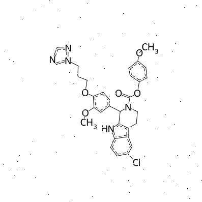 COc1ccc(OC(=O)N2CCc3c([nH]c4ccc(Cl)cc34)C2c2ccc(OCCCn3cncn3)c(OC)c2)cc1